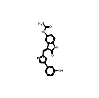 NC(=O)Nc1ccc2c(c1)C(=Cc1cc(-c3cccc(O)c3)c[nH]1)C(=O)N2